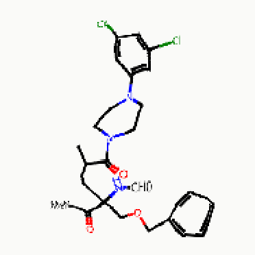 CNC(=O)C(COCc1ccccc1)(CC(C)C(=O)N1CCN(c2cc(Cl)cc(Cl)c2)CC1)NC=O